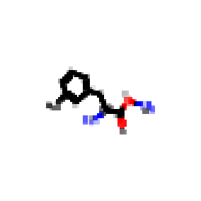 CC(=O)c1cccc(C[C@H](N)C(=O)ON)c1